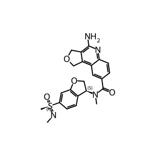 CN=[S@](C)(=O)c1ccc2c(c1)OC[C@H]2N(C)C(=O)c1ccc2nc(N)c3c(c2c1)COC3